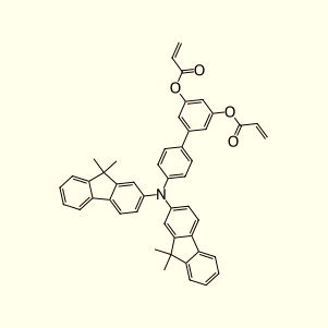 C=CC(=O)Oc1cc(OC(=O)C=C)cc(-c2ccc(N(c3ccc4c(c3)C(C)(C)c3ccccc3-4)c3ccc4c(c3)C(C)(C)c3ccccc3-4)cc2)c1